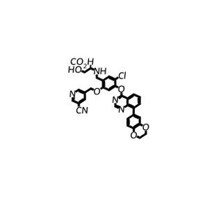 N#Cc1cncc(COc2cc(Oc3ncnc4c(-c5ccc6c(c5)OCCO6)cccc34)c(Cl)cc2CN[C@@H](CO)C(=O)O)c1